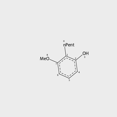 CCCCCc1c(O)cccc1OC